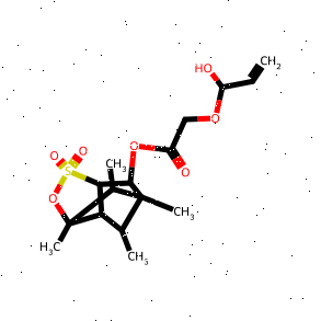 C=CC(O)OCC(=O)OC1C2C3C(C)C1(C)C(C)C3(C)OS2(=O)=O